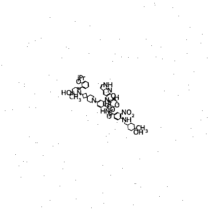 CC(C)Oc1ccccc1[C@@H]1CC[C@](C)(O)CN1C1CC2(CCN(c3ccc(C(=O)NS(=O)(=O)c4ccc(NCC5CCC(C)(O)CC5)c([N+](=O)[O-])c4)c(N4c5cc6cc[nH]c6nc5O[C@H]5COCC[C@@H]54)c3)CC2)C1